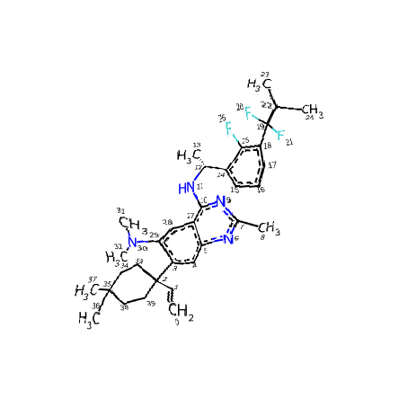 C=CC1(c2cc3nc(C)nc(N[C@H](C)c4cccc(C(F)(F)C(C)C)c4F)c3cc2N(C)C)CCC(C)(C)CC1